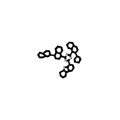 c1ccc(-c2ccc3ccccc3c2-c2nc(-c3ccc(-c4ccc5ccccc5c4)c4ccccc34)nc(-c3cccc4c3sc3ccccc34)n2)cc1